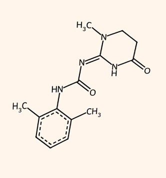 Cc1cccc(C)c1NC(=O)N=C1NC(=O)CCN1C